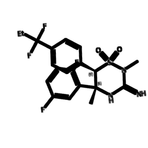 CCC(F)(F)c1ccc([C@@H]2[C@@](C)(c3cc(F)ccc3F)NC(=N)N(C)S2(=O)=O)cc1